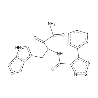 NC(=O)C(=O)C(Cc1c[nH]c2cocc12)NC(=O)c1nsnc1-c1ccccn1